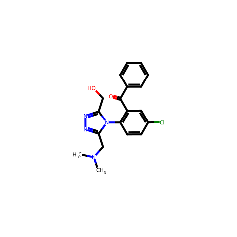 CN(C)Cc1nnc(CO)n1-c1ccc(Cl)cc1C(=O)c1ccccc1